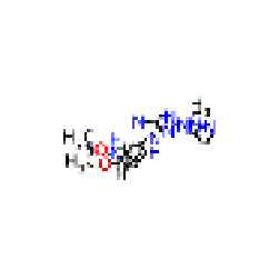 C/C=C(/C)OC(=O)N[C@@H]1[C@@H]2CC3C[C@H]1C[C@@](CNc1nc(NCc4cccnc4C)ncc1C#N)(C3)C2